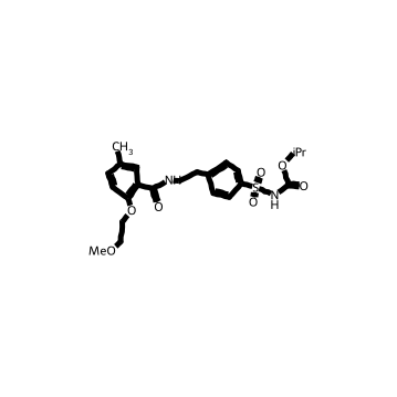 COCCOc1ccc(C)cc1C(=O)NCCc1ccc(S(=O)(=O)NC(=O)OC(C)C)cc1